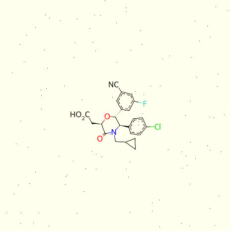 N#Cc1cc(F)cc([C@H]2O[C@H](CC(=O)O)C(=O)N(CC3CC3)[C@@H]2c2ccc(Cl)cc2)c1